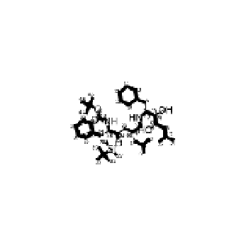 CC(C)C[C@@H](CN[C@@H](CC1CCCCC1)[C@@H](O)[C@@H](O)CC(C)C)C[C@@H](O[Si](C)(C)C(C)(C)C)[C@H](Cc1ccccc1)NC(=O)OC(C)(C)C